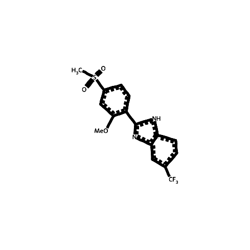 COc1cc(S(C)(=O)=O)ccc1-c1nc2cc(C(F)(F)F)ccc2[nH]1